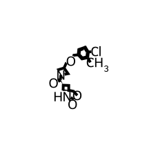 Cc1cc(COCC2CN(C(=O)[C@H]3C[C@]4(COC(=O)N4)C3)C2)ccc1Cl